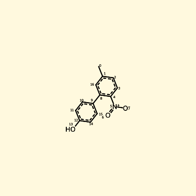 Cc1ccc([N+](=O)[O-])c(-c2ccc(O)cc2)c1